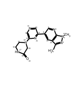 Cc1nn(C)c2ncc(-c3cncc(N4CCNC(=O)C4)n3)cc12